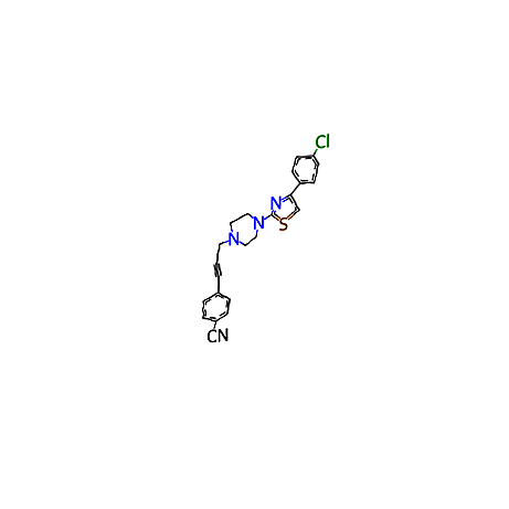 N#Cc1ccc(C#CCN2CCN(c3nc(-c4ccc(Cl)cc4)cs3)CC2)cc1